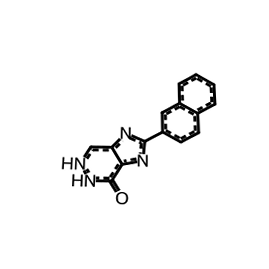 O=c1[nH][nH]cc2nc(-c3ccc4ccccc4c3)nc1-2